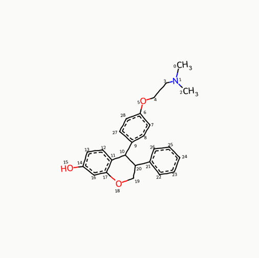 CN(C)CCOc1ccc(C2c3ccc(O)cc3OCC2c2ccccc2)cc1